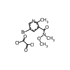 CON(C)C(=O)c1cc(Br)cnc1C.O=C(Cl)C(=O)Cl